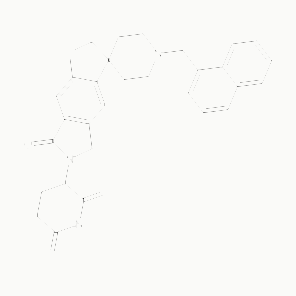 O=C1CCC(N2Cc3cc4c(cc3C2=O)OCC42CCN(Cc3cccc4ccccc34)CC2)C(=O)N1